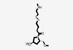 CNCCSSCCCC(=O)N1C[C@H](O)C[C@H]1COC